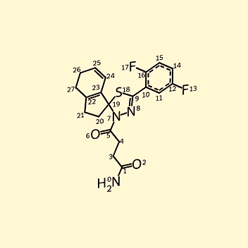 NC(=O)CCC(=O)N1N=C(c2cc(F)ccc2F)SC12CCC1=C2C=CCC1